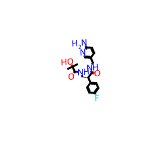 CC(C)(O)C(=O)NC[C@H](C(=O)NCc1ccc(N)nc1)c1ccc(F)cc1